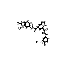 Cc1cc(CNC(=O)c2cc(C(=O)NCc3ccc4oc(=O)n(C)c4c3)nc3ccnn23)ccc1F